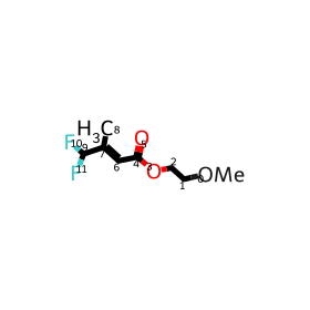 COCCOC(=O)/C=C(\C)C(F)F